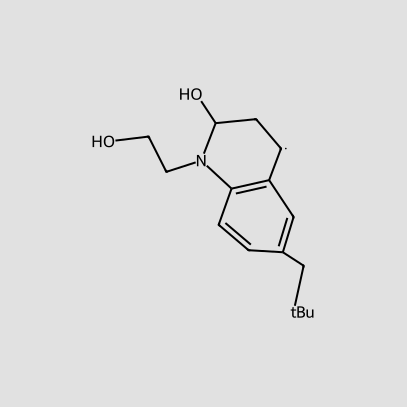 CC(C)(C)Cc1ccc2c(c1)[CH]CC(O)N2CCO